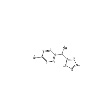 OC(c1ccc(Br)cc1)c1cncs1